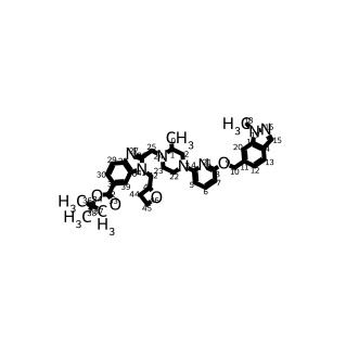 CC1CN(c2cccc(OCc3ccc4cnn(C)c4c3)n2)CCN1Cc1nc2ccc(C(=O)OC(C)(C)C)cc2n1CC1CCO1